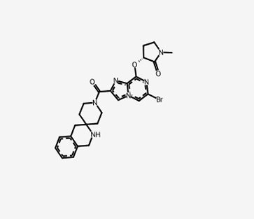 CN1CC[C@@H](Oc2nc(Br)cn3cc(C(=O)N4CCC5(CC4)Cc4ccccc4CN5)nc23)C1=O